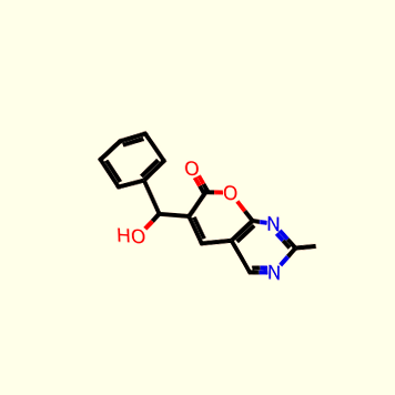 Cc1ncc2cc(C(O)c3ccccc3)c(=O)oc2n1